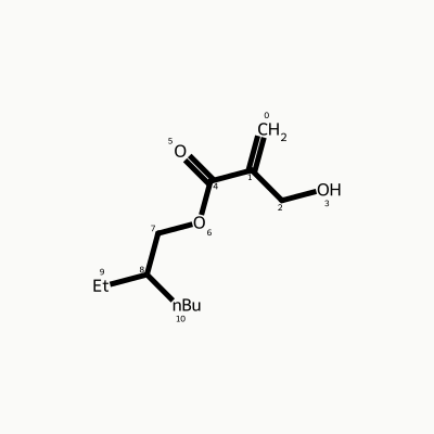 C=C(CO)C(=O)OCC(CC)CCCC